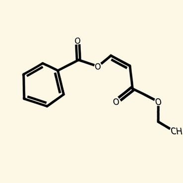 CCOC(=O)/C=C\OC(=O)c1ccccc1